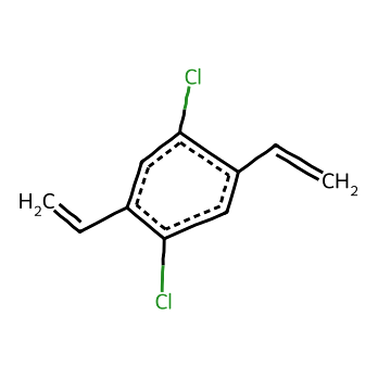 C=Cc1cc(Cl)c(C=C)cc1Cl